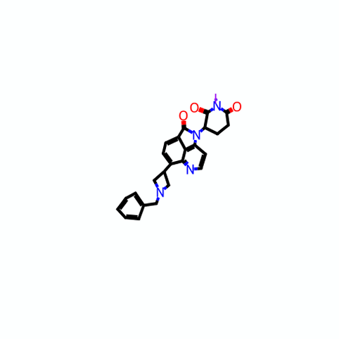 O=C1CCC(N2C(=O)c3ccc(C4CN(Cc5ccccc5)C4)c4nccc2c34)C(=O)N1I